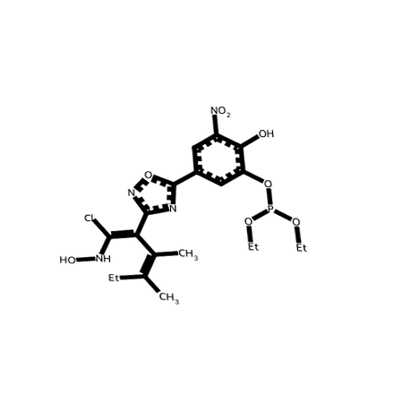 CCOP(OCC)Oc1cc(-c2nc(C(=C(\Cl)NO)/C(C)=C(/C)CC)no2)cc([N+](=O)[O-])c1O